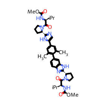 COC(=O)N[C@H](C(=O)N1CCC[C@H]1c1ncc(-c2cc(C)c(-c3ccc4nc([C@@H]5CCCN5C(=O)[C@@H](NC(=O)OC)C(C)C)[nH]c4c3)c(C)c2)[nH]1)C(C)C